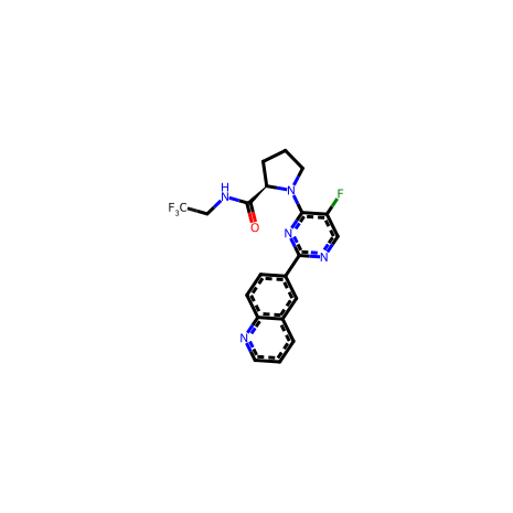 O=C(NCC(F)(F)F)[C@H]1CCCN1c1nc(-c2ccc3ncccc3c2)ncc1F